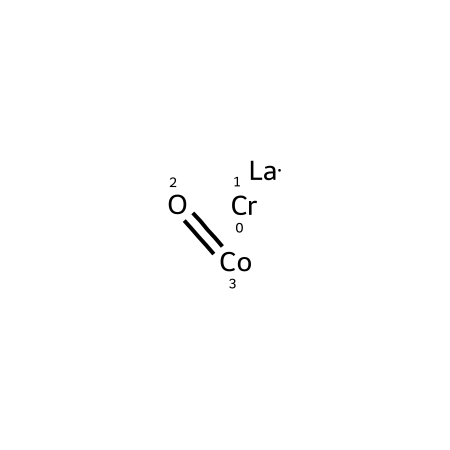 [Cr].[La].[O]=[Co]